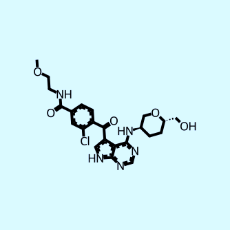 COCCNC(=O)c1ccc(C(=O)c2c[nH]c3ncnc(N[C@@H]4CC[C@@H](CO)OC4)c23)c(Cl)c1